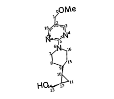 COCc1cnc(N2CCC([C@H]3C[C@H]3CO)CC2)nc1